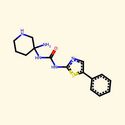 NC1(NC(=O)Nc2ncc(-c3ccccc3)s2)CCCNC1